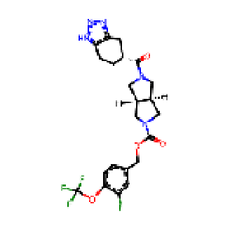 O=C(OCc1ccc(OC(F)(F)F)c(F)c1)N1C[C@@H]2CN(C(=O)[C@@H]3CCc4[nH]nnc4C3)C[C@H]2C1